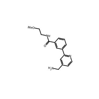 COCCNC(=O)c1cccc(-c2cc(CN)ccn2)c1